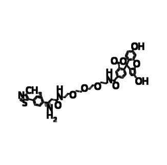 Cc1ncsc1-c1ccc([C@@H](N)CC(=O)NCCOCCOCCOCCNC(=O)c2ccc3c(c2)C(=O)OC32c3ccc(O)cc3Oc3cc(O)ccc32)cc1